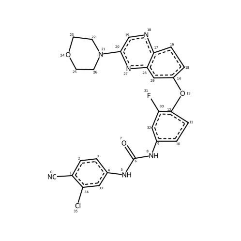 N#Cc1ccc(NC(=O)Nc2ccc(Oc3ccc4ncc(N5CCOCC5)nc4c3)c(F)c2)cc1Cl